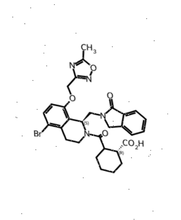 Cc1nc(COc2ccc(Br)c3c2[C@@H](CN2Cc4ccccc4C2=O)N(C(=O)C2CCCC[C@H]2C(=O)O)CC3)no1